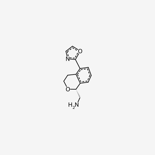 NC[C@@H]1OCCc2c(-c3ncco3)cccc21